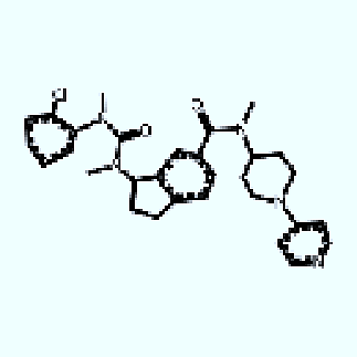 CN(C(=O)N(C)C1CCc2ccc(C(=O)N(C)C3CCN(c4ccncc4)CC3)cc21)c1ccccc1Cl